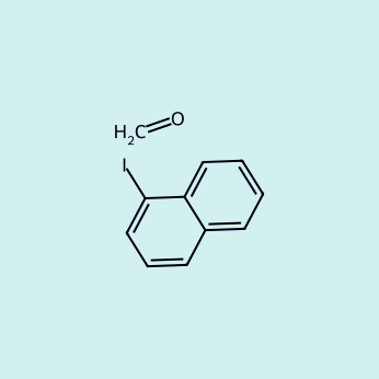 C=O.Ic1cccc2ccccc12